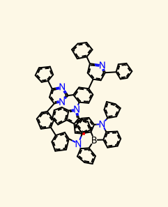 c1ccc(-c2cc(-c3ccc(-n4c5ccccc5c5ccccc54)c(-c4nc(-c5ccccc5)cc(-c5cccc(-c6cccc(N7c8ccccc8B8c9ccccc9N(c9ccccc9)c9cccc7c98)c6)c5)n4)c3)cc(-c3ccccc3)n2)cc1